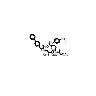 COC(=O)[C@@]1(Sc2ccc(C)cc2)CC[C@@H](NC(=O)COC(C)=O)[C@H]([C@H](OC(C)=O)[C@@H](CNC(=O)Cc2ccc(-c3ccccc3)cc2)OC(C)=O)O1